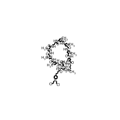 CN(C)CCCNC(=O)c1cc(NC(=O)c2cc(NC(=O)c3cc(NC(=O)c4cc(NC(=O)CCCNC(=O)c5nc(NC(=O)c6nc(NC(=O)c7cc(NC(=O)c8nc(NC(=O)CCNC(=O)CCCc9ccc(N(CCCl)CCCl)cc9)cn8C)cn7C)cn6C)cn5C)cn4C)cn3C)cn2C)cn1C